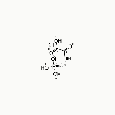 O=C(O)C(=O)O.O=P(O)(O)O.[KH]